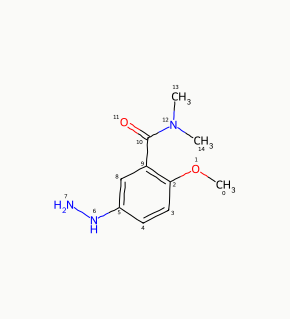 COc1ccc(NN)cc1C(=O)N(C)C